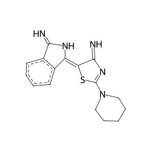 N=C1N=C(N2CCCCC2)S/C1=C1/NC(=N)c2ccccc21